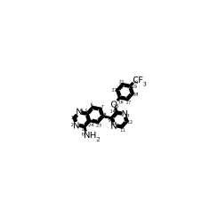 Nc1ncnc2ccc(-c3nccnc3Oc3ccc(C(F)(F)F)cc3)cc12